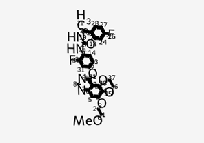 COCCOc1cc2ncnc(Oc3ccc(NC(=O)N[C@H](C)c4ccc(F)cc4)c(F)c3)c2c2c1OCCO2